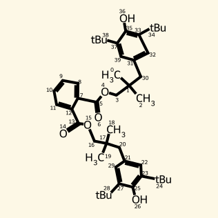 CC(C)(COC(=O)c1ccccc1C(=O)OCC(C)(C)Cc1cc(C(C)(C)C)c(O)c(C(C)(C)C)c1)Cc1cc(C(C)(C)C)c(O)c(C(C)(C)C)c1